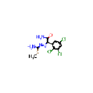 CSC(N)=NN=C(C(N)=O)c1cc(Cl)cc(Cl)c1Cl